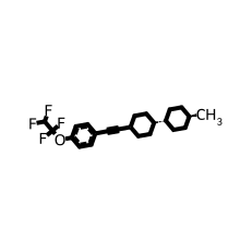 C[C@H]1CC[C@H](C2CCC(C#Cc3ccc(OC(F)(F)C(F)F)cc3)CC2)CC1